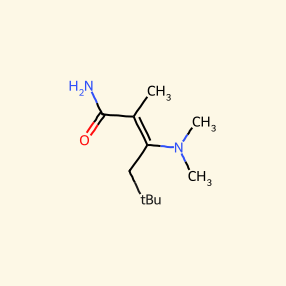 CC(C(N)=O)=C(CC(C)(C)C)N(C)C